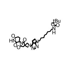 CC(C)(C)OC(=O)NCCCCCCCCn1ccc2c(N3CC4(CC(=O)N(C5CCC(=O)NC5=O)C4=O)C3)ncnc21